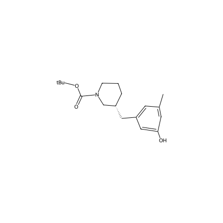 Cc1cc(O)cc(C[C@H]2CCCN(C(=O)OC(C)(C)C)C2)c1